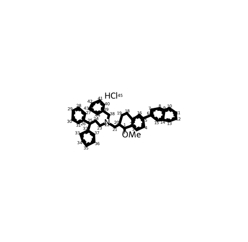 COC1c2ccc(-c3ccc4ccccc4c3)cc2CCC1CN(CCC(c1ccccc1)c1ccccc1)Cc1ccccc1.Cl